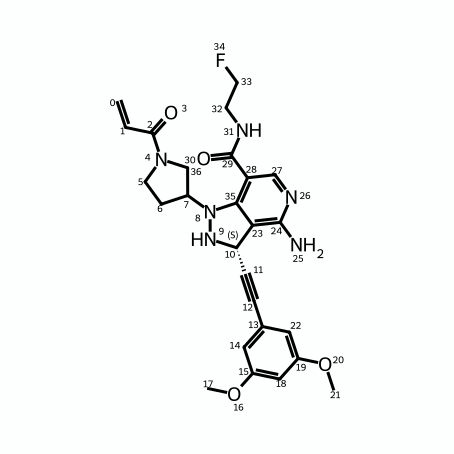 C=CC(=O)N1CCC(N2N[C@@H](C#Cc3cc(OC)cc(OC)c3)c3c(N)ncc(C(=O)NCCF)c32)C1